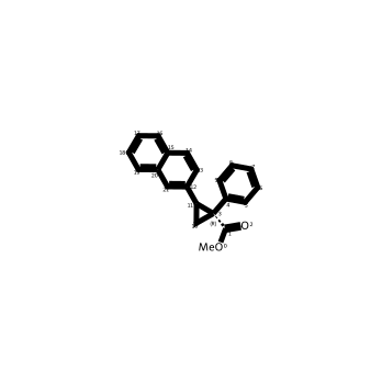 COC(=O)[C@]1(c2ccccc2)CC1c1ccc2ccccc2c1